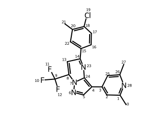 Cc1cc(-c2cnn3c(C(F)(F)F)cc(-c4ccc(Cl)c(C)c4)nc23)cc(C)n1